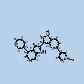 Cn1cc(-c2ccc3[nH]nc(-c4cc5c(-c6cccnc6)cncc5[nH]4)c3n2)cn1